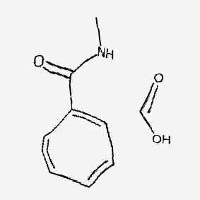 CNC(=O)c1ccccc1.O=CO